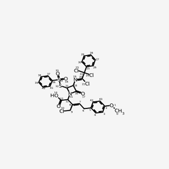 COc1ccc(CC=C(CCl)C(C(=O)O)N2C(=O)C(N=C(Cl)C(Cl)(Cl)c3ccccc3)C2SS(=O)(=O)c2ccccc2)cc1